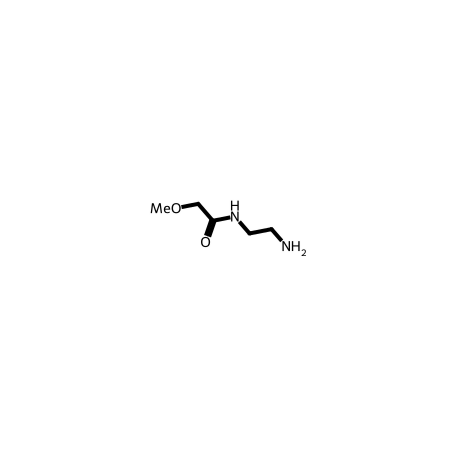 COCC(=O)NCCN